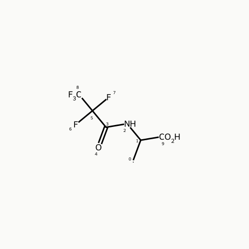 [CH2]C(NC(=O)C(F)(F)C(F)(F)F)C(=O)O